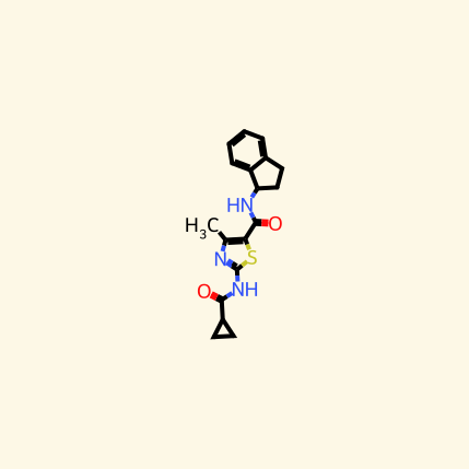 Cc1nc(NC(=O)C2CC2)sc1C(=O)NC1CCc2ccccc21